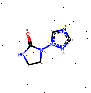 O=C1NCCN1n1cncn1